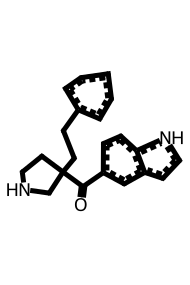 O=C(c1ccc2[nH]ccc2c1)C1(CCc2ccccc2)CCNC1